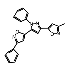 Cc1cc(-c2cc(-c3cc(-c4ccccc4)no3)n(-c3ccccc3)n2)on1